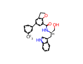 O=C(N[C@@H](CO)Cc1c[nH]c2ccccc12)c1cc(-c2cccc(C(F)(F)F)c2)cc2c1OCC2